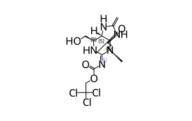 C=C1N[C@H]2[C@H](CO)N/C(=N\C(=O)OCC(Cl)(Cl)Cl)N3[C@@H](C)CC(=O)C23N1